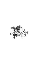 CCCCN(CCCC)c1nc(SC2(CCOC)NC(=O)NC2=O)nc(SC2(CCOC)NC(=O)NC2=O)n1